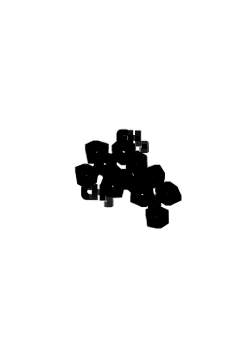 Cc1cccc(-c2c3c(c(-c4cccc(C)c4)c4ccccc24)-c2cc4c(c5cccc-3c25)-c2ccc(N(c3ccccc3)c3ccccc3)cc2C4(c2ccccc2)c2ccccc2)c1